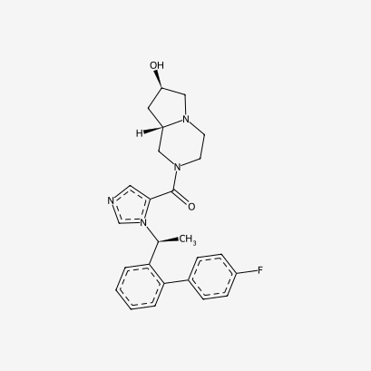 C[C@@H](c1ccccc1-c1ccc(F)cc1)n1cncc1C(=O)N1CCN2C[C@H](O)C[C@H]2C1